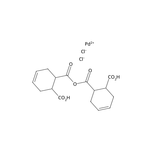 O=C(O)C1CC=CCC1C(=O)OC(=O)C1CC=CCC1C(=O)O.[Cl-].[Cl-].[Pd+2]